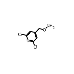 NOCc1cc(Cl)nc(Cl)c1